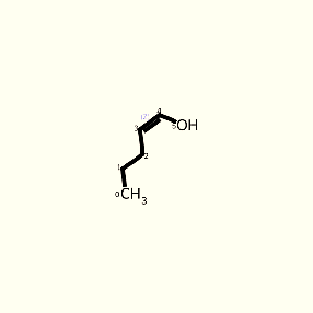 CCC/C=C\O